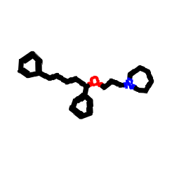 c1ccc(CCCCC(OCCCN2CCCCCC2)c2ccccc2)cc1